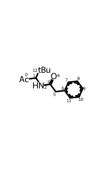 CC(=O)C(NC(=O)Cc1ccccc1)C(C)(C)C